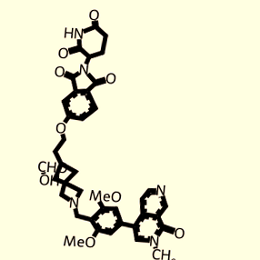 COc1cc(-c2cn(C)c(=O)c3cnccc23)cc(OC)c1CN1CC2(CC(CCOc3ccc4c(c3)C(=O)N(C3CCC(=O)NC3=O)C4=O)C2)C1.O=CO